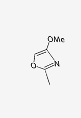 COc1coc(C)n1